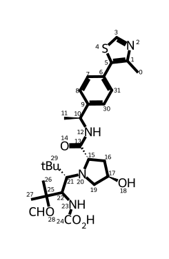 Cc1ncsc1-c1ccc([C@H](C)NC(=O)[C@@H]2C[C@@H](O)CN2[C@H](C(NC(=O)O)C(C)(C)C=O)C(C)(C)C)cc1